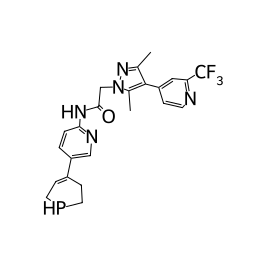 Cc1nn(CC(=O)Nc2ccc(C3=CCPCC3)cn2)c(C)c1-c1ccnc(C(F)(F)F)c1